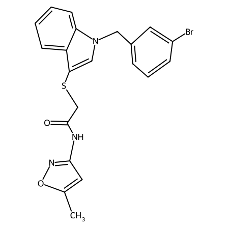 Cc1cc(NC(=O)CSc2cn(Cc3cccc(Br)c3)c3ccccc23)no1